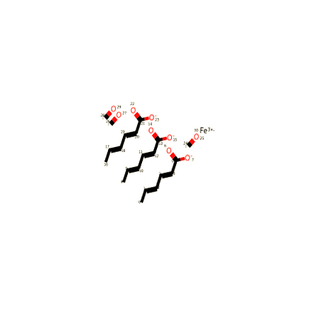 CC=CC=CC(=O)[O-].CC=CC=CC(=O)[O-].CC=CC=CC(=O)[O-].[C]=O.[C]=O.[C]=O.[Fe+3]